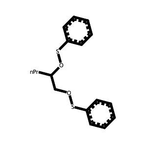 CCCC(COSc1ccccc1)OSc1ccccc1